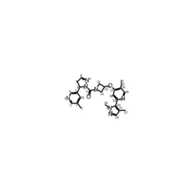 Cc1cncc(C2CC=NN2C(=O)N2CC(Oc3cc(-c4c(C)cnn4C)ncc3F)C2)c1